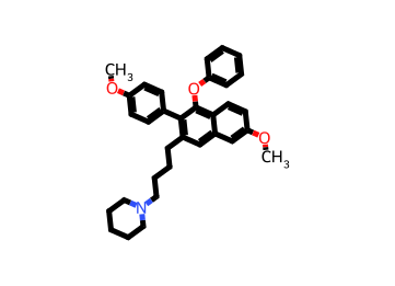 COc1ccc(-c2c(CCCCN3CCCCC3)cc3cc(OC)ccc3c2Oc2ccccc2)cc1